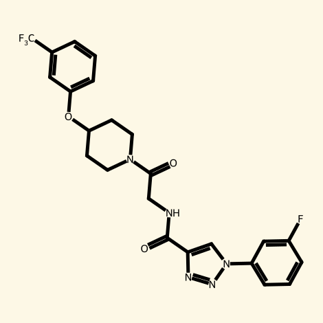 O=C(NCC(=O)N1CCC(Oc2cccc(C(F)(F)F)c2)CC1)c1cn(-c2cccc(F)c2)nn1